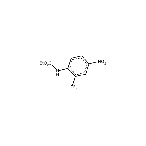 CCOC(=O)Nc1ccc([N+](=O)[O-])cc1C(F)(F)F